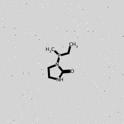 CCP(C)N1CCNC1=O